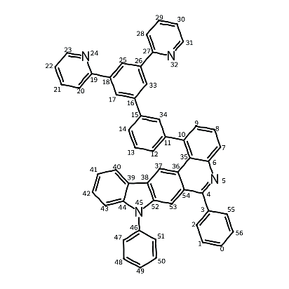 c1ccc(-c2nc3cccc(-c4cccc(-c5cc(-c6ccccn6)cc(-c6ccccn6)c5)c4)c3c3cc4c5ccccc5n(-c5ccccc5)c4cc23)cc1